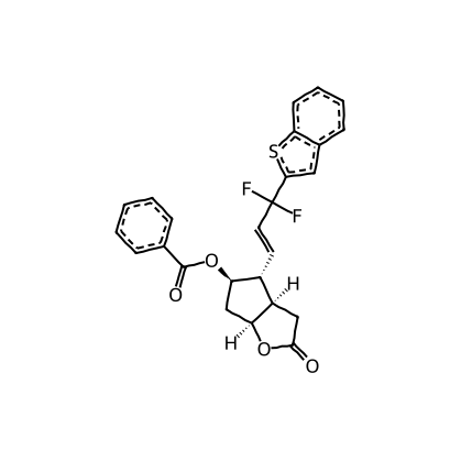 O=C1C[C@@H]2[C@@H](C=CC(F)(F)c3cc4ccccc4s3)[C@H](OC(=O)c3ccccc3)C[C@@H]2O1